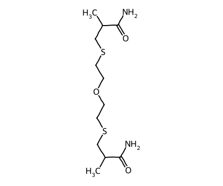 CC(CSCCOCCSCC(C)C(N)=O)C(N)=O